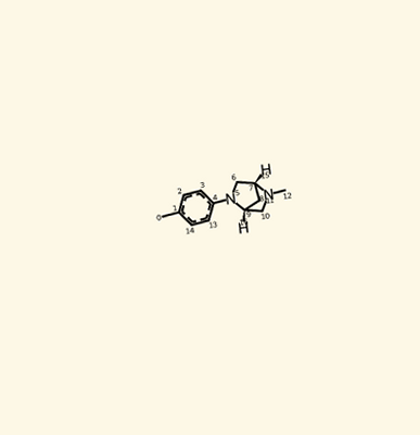 Cc1ccc(N2C[C@H]3C[C@@H]2CN3C)cc1